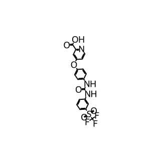 O=C(Nc1ccc(Oc2ccnc(C(=O)O)c2)cc1)Nc1cccc(S(=O)(=O)C(F)(F)F)c1